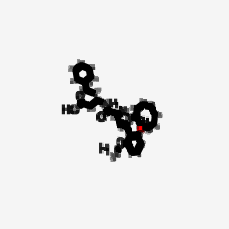 COc1cccc(OC)c1-c1cc(C(=O)N[C@@H](CCC2CCCCC2)CC(=O)O)nn1C1CCCCCCC1